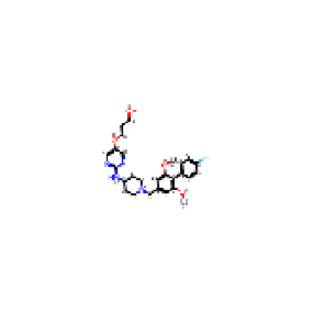 CCOc1cc(CN2CCC(Nc3ncc(OCCCO)cn3)CC2)cc(OCC)c1-c1ccc(F)cc1